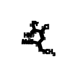 C/C=C(\C=C(\Cl)C(=N)C(C)C)SC